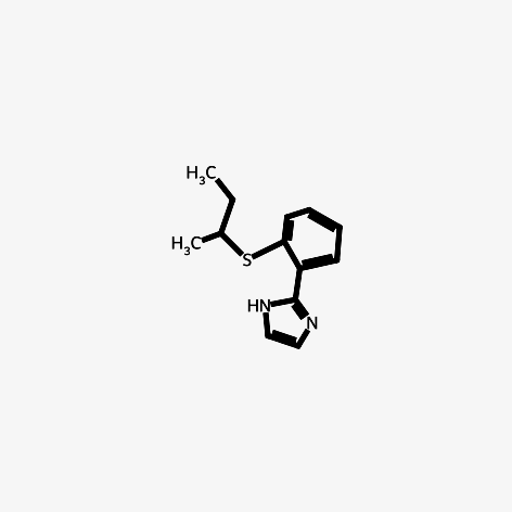 CCC(C)Sc1ccccc1-c1ncc[nH]1